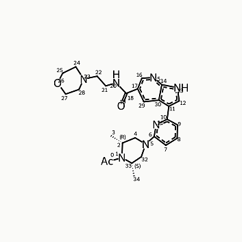 CC(=O)N1[C@H](C)CN(c2cccc(-c3c[nH]c4ncc(C(=O)NCCN5CCOCC5)cc34)n2)C[C@@H]1C